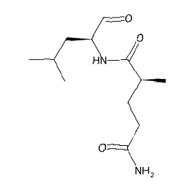 CC(C)C[C@@H](C=O)NC(=O)[C@@H](C)CCC(N)=O